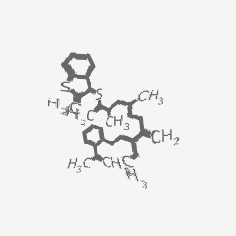 C=C(C)c1ccccc1CCC(CC)C(=C)CCC(C)CC(C)C(=C)SC1C(=C)Sc2ccccc21